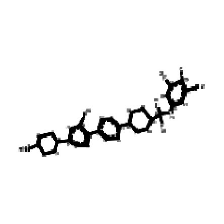 CCCCC1CCC(c2ccc(-c3ccc(C4CCC(C(F)(F)Oc5cc(F)c(F)c(F)c5)CC4)cc3)c(F)c2)CC1